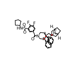 Cc1nc2ccccc2n1[C@H]1C[C@H]2CC[C@@H](C1)N2CCC1(c2ccccc2)CCN(C(=O)c2cc(F)c(F)c(S(=O)(=O)NC3CCCC3)c2)CC1